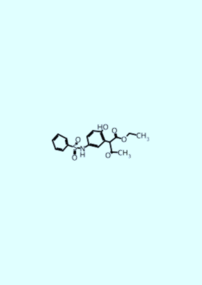 CCOC(=O)C(C(C)=O)c1cc(NS(=O)(=O)c2ccccc2)ccc1O